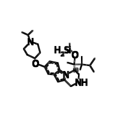 C[SiH2]OC(C)([C@@H]1CNCc2cc3cc(OC4CCN(C(C)C)CC4)ccc3n21)C(C)(C)C(C)C